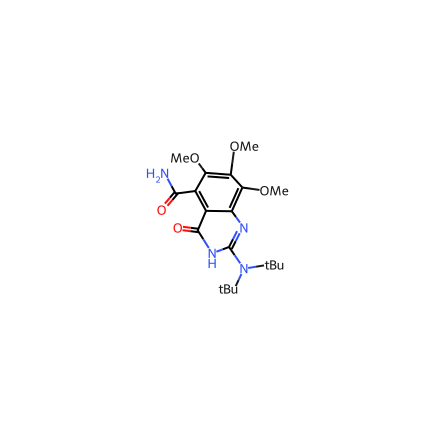 COc1c(OC)c(C(N)=O)c2c(=O)[nH]c(N(C(C)(C)C)C(C)(C)C)nc2c1OC